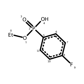 CCOP(=O)(O)c1ccc(F)cc1